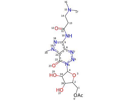 CC(=O)OCC1OC(n2nnc3c(NC(=O)CCN(C)C)nn(C)c3c2=O)C(O)C1O